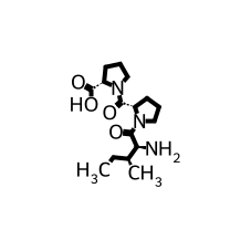 CC[C@H](C)[C@H](N)C(=O)N1CCC[C@H]1C(=O)N1CCC[C@H]1C(=O)O